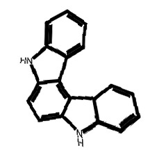 C1=CC2Nc3ccc4[nH]c5ccccc5c4c3C2C=C1